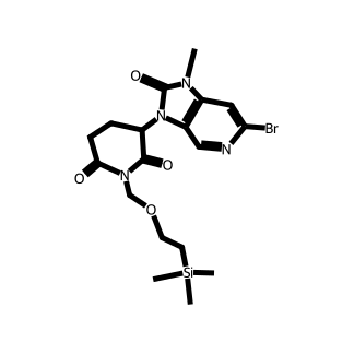 Cn1c(=O)n(C2CCC(=O)N(COCC[Si](C)(C)C)C2=O)c2cnc(Br)cc21